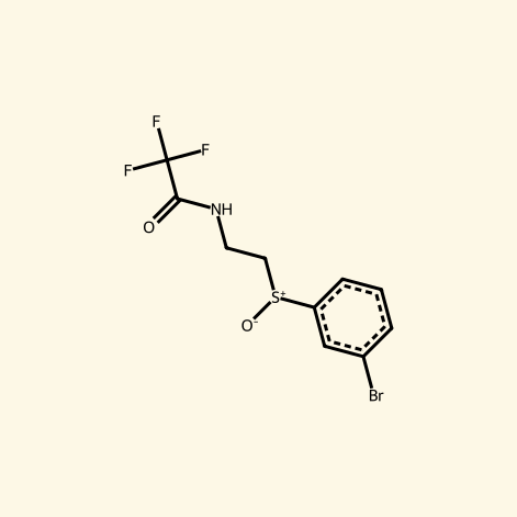 O=C(NCC[S+]([O-])c1cccc(Br)c1)C(F)(F)F